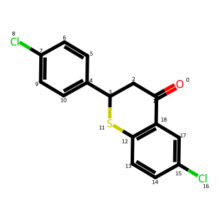 O=C1CC(c2ccc(Cl)cc2)Sc2ccc(Cl)cc21